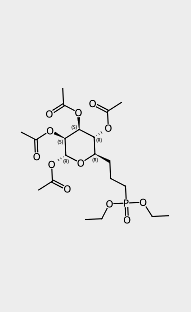 CCOP(=O)(CCC[C@H]1O[C@H](OC(C)=O)[C@@H](OC(C)=O)[C@@H](OC(C)=O)[C@@H]1OC(C)=O)OCC